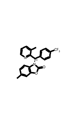 Cc1ccc2c(c1)oc(=O)n2[C@@H](c1ccc(C(F)(F)F)cc1)c1ncccc1C